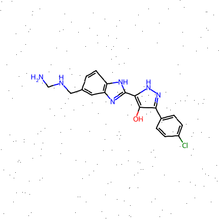 NCNCc1ccc2[nH]c(-c3[nH]nc(-c4ccc(Cl)cc4)c3O)nc2c1